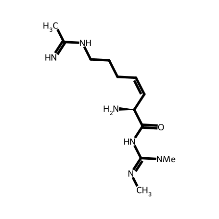 C/N=C(\NC)NC(=O)[C@@H](N)/C=C\CCCNC(C)=N